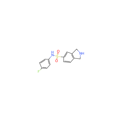 O=S(=O)(Nc1ccc(F)cc1)c1ccc2c(c1)CNC2